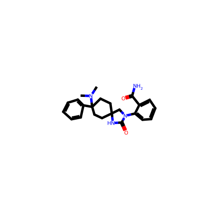 CN(C)C1(c2ccccc2)CCC2(CC1)CN(c1ccccc1C(N)=O)C(=O)N2